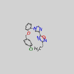 CCc1noc(-c2cn(-c3ccccc3OCc3ccc(Cl)cc3)cn2)n1